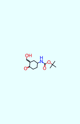 CC(C)(C)OC(=O)NC1CCC(=O)C(=CO)C1